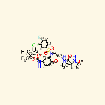 CC1(C(=O)NC[C@H]2CN(S(=O)(=O)c3ccc(F)c(Cl)c3)c3cc(NC(=O)OC(C)(C)C(F)(F)F)ccc3O2)CCC(=O)N1